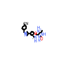 C=C1NC(=O)NC(C(=O)N[C@H](C)c2cccc(-c3cnn(Cc4ccc(C#N)cc4)c3)c2)=C1N